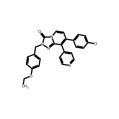 CCOc1ccc(Cn2nc3c(-c4ccncc4)c(-c4ccc(Cl)cc4)ccn3c2=O)cc1